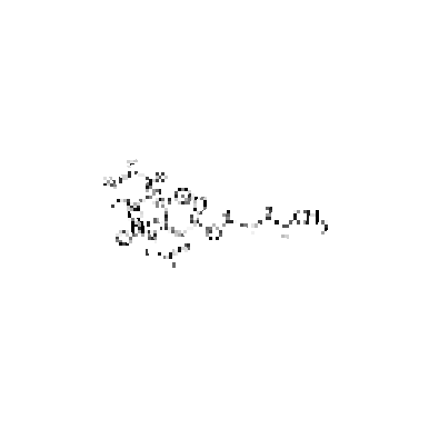 CCCCCOC(=O)c1cccc([N+](=O)[O-])c1C(=O)c1ccccc1